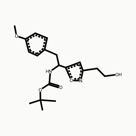 COc1ccc(CC(NC(=O)OC(C)(C)C)c2cc(CCO)no2)cc1